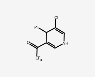 CC(C)C1C(Cl)=CNC=C1C(=O)C(F)(F)F